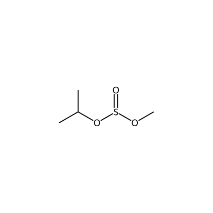 COS(=O)OC(C)C